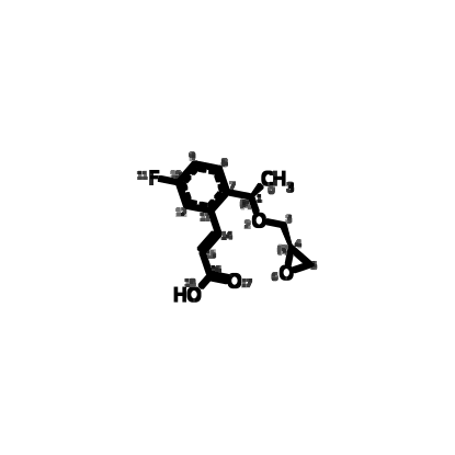 C[C@@H](OC[C@H]1CO1)c1ccc(F)cc1C=CC(=O)O